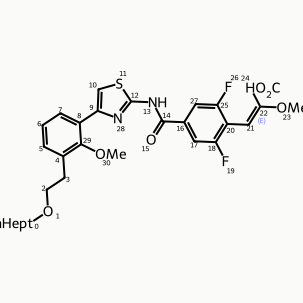 CCCCCCCOCCc1cccc(-c2csc(NC(=O)c3cc(F)c(/C=C(/OC)C(=O)O)c(F)c3)n2)c1OC